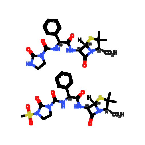 CC1(C)S[C@@H]2[C@H](NC(=O)[C@@H](NC(=O)N3CCNC3=O)c3ccccc3)C(=O)N2[C@H]1C(=O)O.CC1(C)S[C@@H]2[C@H](NC(=O)[C@H](NC(=O)N3CCN(S(C)(=O)=O)C3=O)c3ccccc3)C(=O)N2[C@H]1C(=O)O